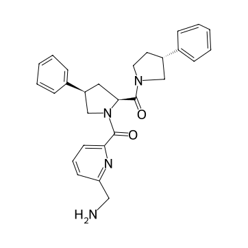 NCc1cccc(C(=O)N2C[C@@H](c3ccccc3)C[C@H]2C(=O)N2CC[C@H](c3ccccc3)C2)n1